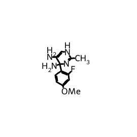 COc1ccc(C2(N)N=C(C)NC=C2N)c(F)c1